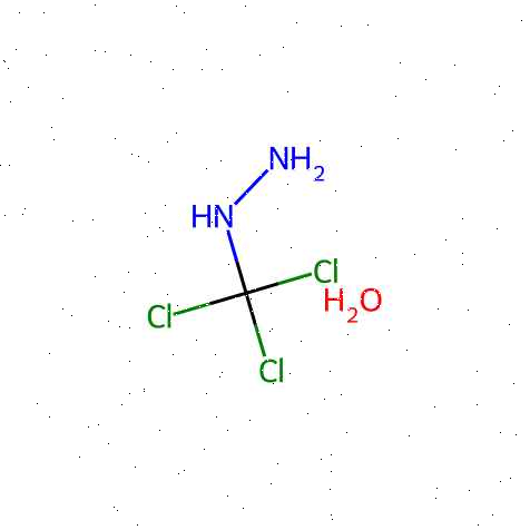 NNC(Cl)(Cl)Cl.O